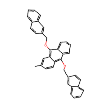 Cc1ccc2c(OCc3ccc4ccccc4c3)c3ccccc3c(OCc3ccc4ccccc4c3)c2c1